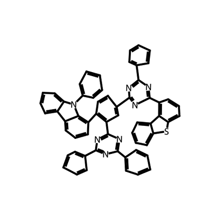 c1ccc(-c2nc(-c3ccccc3)nc(-c3cc(-c4nc(-c5ccccc5)nc(-c5cccc6sc7ccccc7c56)n4)ccc3-c3cccc4c5ccccc5n(-c5ccccc5)c34)n2)cc1